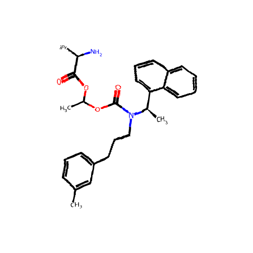 Cc1cccc(CCCN(C(=O)OC(C)OC(=O)C(N)C(C)C)[C@H](C)c2cccc3ccccc23)c1